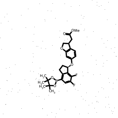 COC(=O)CC1COc2cc(O[C@@H]3CCc4c(B5OC(C)(C)C(C)(C)O5)cc(F)c(F)c43)ccc21